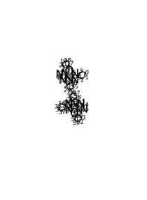 c1ccc2c(c1)nc1n(-c3ncnc4c3oc3ccccc34)c3ccc(-c4ccc5c(c4)n4c6ccccc6nc4n5-c4ncnc5c4oc4ccccc45)cc3n21